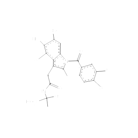 CCC(C)(NC(=O)[C@H](C)c1c(C)n(C(=O)c2ccc(F)c(F)c2)c2cc(F)c(O)c(F)c12)C(=O)O